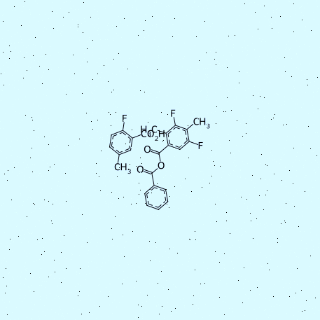 Cc1c(F)cc(C(=O)OC(=O)c2ccccc2)c(C)c1F.Cc1ccc(F)c(C(=O)O)c1